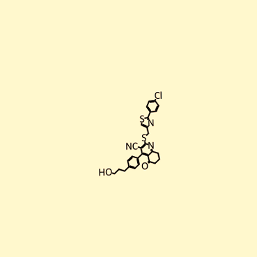 N#Cc1c(SCc2csc(-c3ccc(Cl)cc3)n2)nc2c(c1-c1ccc(CCCO)cc1)C(=O)CCC2